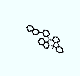 CC1(C)c2ccccc2-c2cccc(N(c3cccc(-c4ccc5ccccc5c4)c3)c3cccc4ccccc34)c21